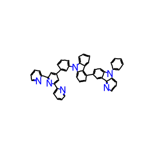 c1ccc(-n2c3ccc(-c4cccc5c4c4ccccc4n5-c4cccc(-c5cc(-c6ccccn6)nc(-c6ccccn6)c5)c4)cc3c3ncccc32)cc1